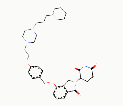 O=C1CCC(N2Cc3c(OCc4ccc(OCCN5CCN(CCCC6CCCCC6)CC5)cc4)cccc3C2=O)C(=O)N1